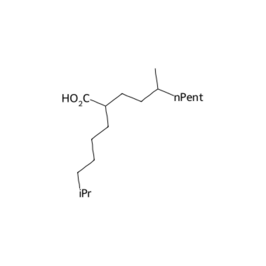 CCCCCC(C)CCC(CCCCC(C)C)C(=O)O